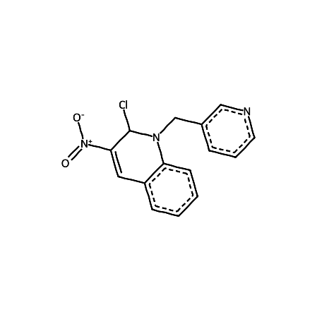 O=[N+]([O-])C1=Cc2ccccc2N(Cc2cccnc2)C1Cl